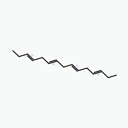 [CH2]C/C=C/C/C=C/C/C=C/C/C=C/CC